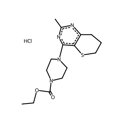 CCOC(=O)N1CCN(c2nc(C)nc3c2SCCC3)CC1.Cl